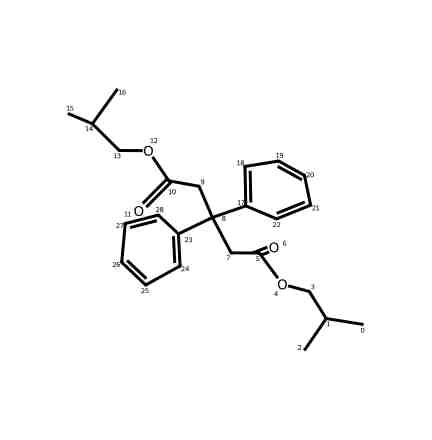 CC(C)COC(=O)CC(CC(=O)OCC(C)C)(c1ccccc1)c1ccccc1